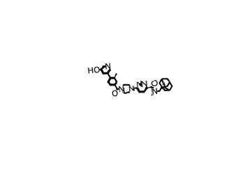 Cc1cc(C(=O)N2CCN(c3ccc(C(=O)N(C)CC45CC6CC(CC(C6)C4)C5)nn3)CC2)ccc1-c1cncc(O)c1